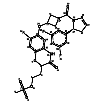 CS(=O)(=O)OCCC1Oc2cc(F)c(OC3CN(C(=O)N4N=CC[C@H]4c4cc(F)cc(F)c4)C3)cc2NC1=O